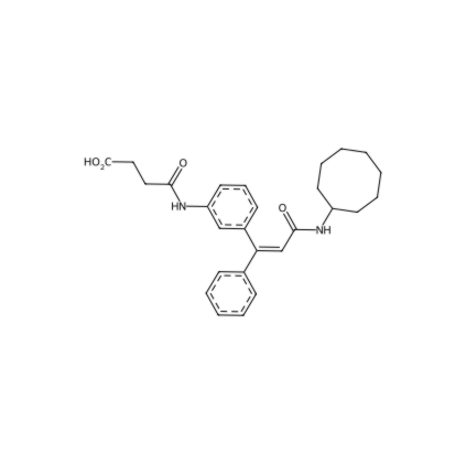 O=C(O)CCC(=O)Nc1cccc(/C(=C\C(=O)NC2CCCCCCC2)c2ccccc2)c1